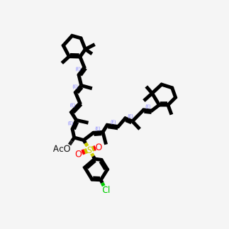 CC(=O)OC(/C=C(C)/C=C/C=C(C)/C=C/C1=C(C)CCCC1(C)C)C(/C=C(C)/C=C/C=C(C)/C=C/C1=C(C)CCCC1(C)C)S(=O)(=O)c1ccc(Cl)cc1